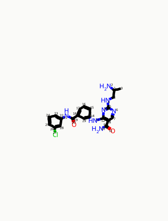 CC(N)CNc1ncc(C(N)=O)c(Nc2cccc(C(=O)Nc3cccc(Cl)c3)c2)n1